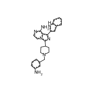 Nc1cccc(CN2CCC(c3nc(-c4cc5ccccc5[nH]4)c4c(N)nccn34)CC2)c1